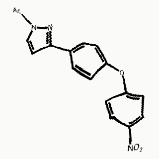 CC(=O)n1ccc(-c2ccc(Oc3ccc([N+](=O)[O-])cc3)cc2)n1